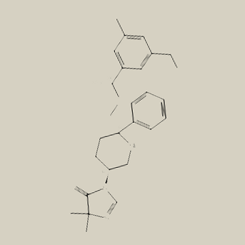 Cc1cc(CF)cc([C@@H](C)OC[C@@]2(c3ccccc3)CC[C@H](N3C=NC(C)(C)C3=O)CN2)c1